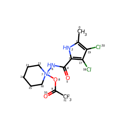 Cc1[nH]c(C(=O)N[N+]2(OC(=O)C(F)(F)F)CCCCC2)c(Cl)c1Cl